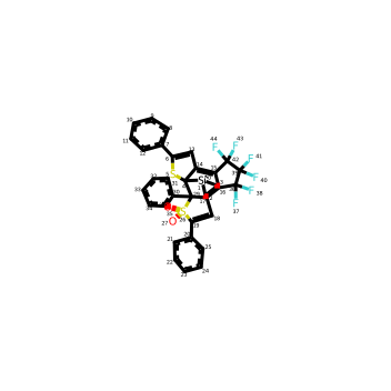 C[Si](C)(C)C12SC(c3ccccc3)=CC1=C1C(=C3C=C(c4ccccc4)S(=O)(=O)C32c2ccccc2)C(F)(F)C(F)(F)C1(F)F